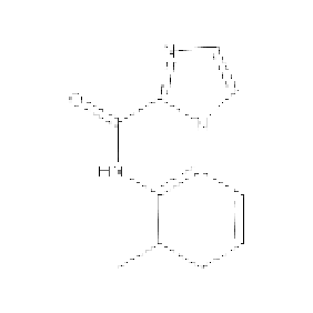 CC1CC=Cc2c1[nH]c(=O)c1nccn21